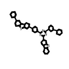 c1ccc(-c2cccc(-c3nc(-c4ccc(-c5ccc6c(c5)sc5ccc(-c7ccccc7)cc56)cc4)nc(-c4ccc5c(c4)sc4ccccc45)n3)c2)cc1